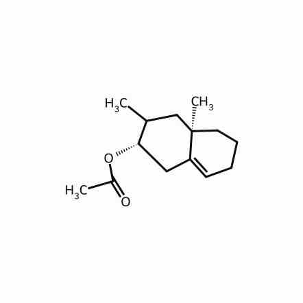 CC(=O)O[C@H]1CC2=CCCC[C@]2(C)CC1C